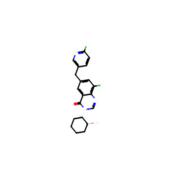 O=c1c2cc(Cc3ccc(Cl)nc3)cc(Cl)c2ncn1[C@H]1CCCC[C@@H]1O